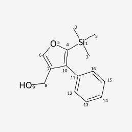 C[Si](C)(C)c1occ(CO)c1-c1ccccc1